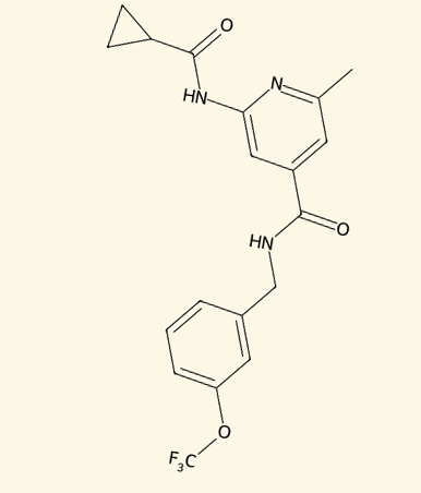 Cc1cc(C(=O)NCc2cccc(OC(F)(F)F)c2)cc(NC(=O)C2CC2)n1